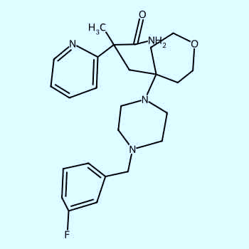 CC(CC1(N2CCN(Cc3cccc(F)c3)CC2)CCOCC1)(C(N)=O)c1ccccn1